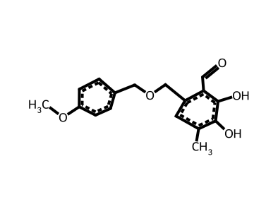 COc1ccc(COCc2cc(C)c(O)c(O)c2C=O)cc1